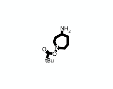 CC(C)(C)C(=O)ON1CCCC(N)CC1